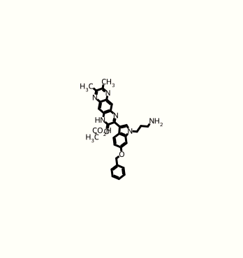 CC(=O)O.Cc1nc2cc3nc(-c4cn(CCCN)c5cc(OCc6ccccc6)ccc45)c(=O)[nH]c3cc2nc1C